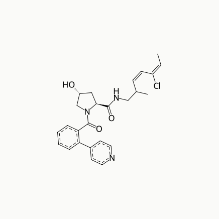 C/C=C(Cl)\C=C/C(C)CNC(=O)[C@@H]1C[C@@H](O)CN1C(=O)c1ccccc1-c1ccncc1